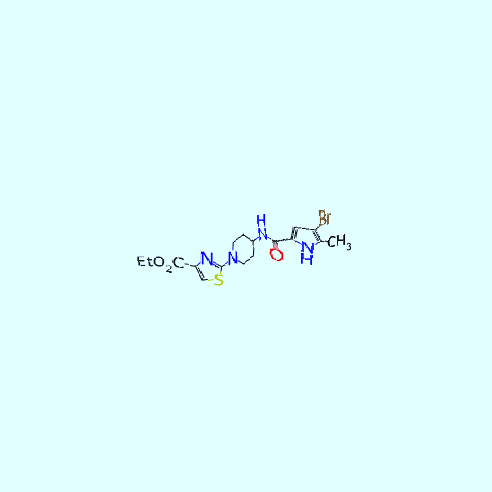 CCOC(=O)c1csc(N2CCC(NC(=O)c3cc(Br)c(C)[nH]3)CC2)n1